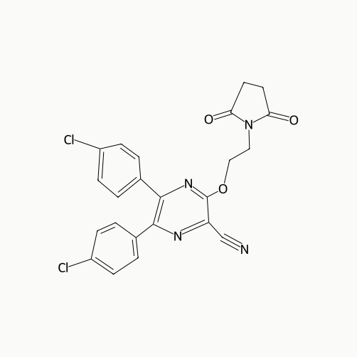 N#Cc1nc(-c2ccc(Cl)cc2)c(-c2ccc(Cl)cc2)nc1OCCN1C(=O)CCC1=O